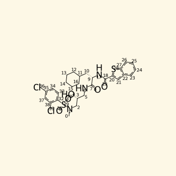 CN(C[C@H](O)CNC(=O)[C@H](CC1CCCCC1)NC(=O)c1cc2ccccc2s1)S(=O)(=O)c1ccc(Cl)cc1Cl